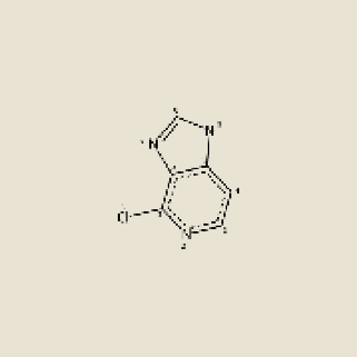 Clc1nccc2c1N=C[N]2